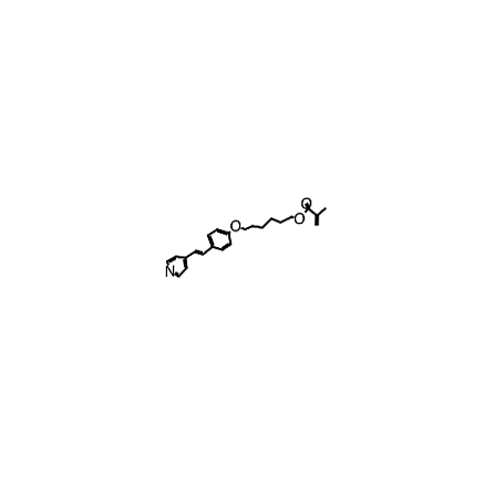 C=C(C)C(=O)OCCCCCCOc1ccc(/C=C/c2ccncc2)cc1